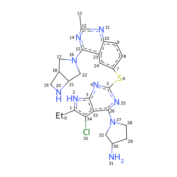 CCc1[nH]c2nc(Sc3ccc4nc(C)nc(N5CC6CNC6C5)c4c3)nc(N3CCC(N)C3)c2c1Cl